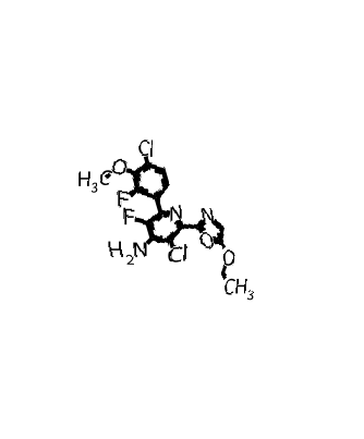 CCOc1cnc(-c2nc(-c3ccc(Cl)c(OC)c3F)c(F)c(N)c2Cl)o1